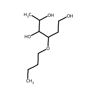 CCCCOC(CCO)C(O)C(C)O